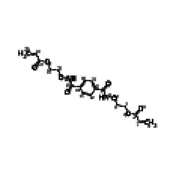 C=CC(=O)OCCONC(=O)c1ccc(C(=O)NOCCOC(=O)C=C)cc1